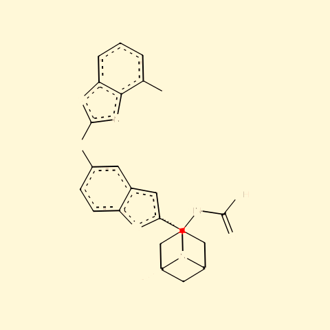 CC(=O)N[C@H]1CC2C[C@@H](C1)N2Cc1cc2cc(Oc3nc4c(F)cccc4s3)ccc2o1